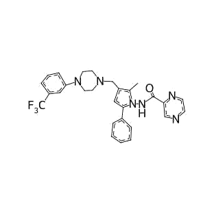 Cc1c(CN2CCN(c3cccc(C(F)(F)F)c3)CC2)cc(-c2ccccc2)n1NC(=O)c1cnccn1